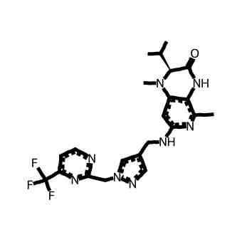 Cc1nc(NCc2cnn(Cc3nccc(C(F)(F)F)n3)c2)cc2c1NC(=O)[C@H](C(C)C)N2C